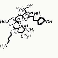 C[C@@H](O)[C@H](NC(=O)[C@H](CCCCN)NC(=O)[C@H](CC(=O)O)NC(=O)[C@@H](NC(=O)[C@@H](N)Cc1ccc(O)cc1)[C@@H](C)O)C(=O)O